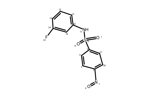 O=Nc1ccc(S(=O)(=O)Nc2cccc(F)c2)cc1